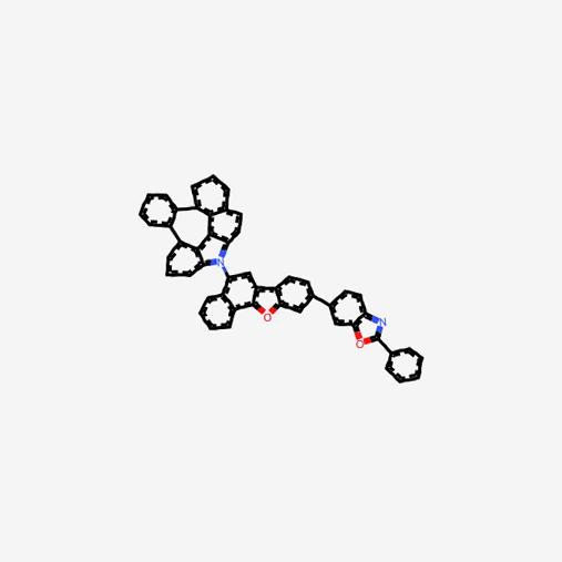 c1ccc(-c2nc3ccc(-c4ccc5c(c4)oc4c6ccccc6c(-n6c7cccc8c7c7c9c(cccc9ccc76)-c6ccccc6-8)cc54)cc3o2)cc1